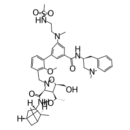 COc1c(CN2O[C@@H](CO)[C@@H]([C@H](C)O)[C@H]2C(=O)N[C@H]2C[C@H]3CC([C@@H]2C)C3(C)C)cccc1-c1cc(C(=O)N[C@@H](Cc2ccccc2)CN(C)C)cc(N(C)CCNS(C)(=O)=O)c1